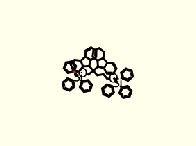 C1=CC2C(C=C1)C(C(CCCO[Si](c1ccccc1)(c1ccccc1)c1ccccc1)(CO[Si](c1ccccc1)(c1ccccc1)c1ccccc1)C1C3C=CC=CC3C3CCCCC31)C1CCCCC21